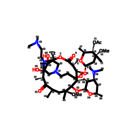 CC[C@H]1OC(=O)[C@H](C)[C@@H](O[C@H]2C[C@@](C)(OC)[C@@H](OC(C)=O)[C@H](C)O2)[C@H](C)[C@@H](O[C@@H]2O[C@H](C)C[C@H](N(C)C)[C@H]2OCCCN2CCN(CCN(C)C)CC2)[C@@](C)(OC)C[C@@H](C)C(=O)[C@H](C)[C@@H](O)[C@]1(C)O